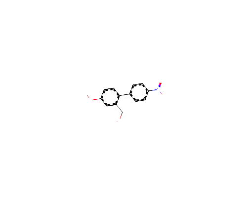 COc1ccc(-c2ccc([N+](=O)[O-])cc2)c(CO)c1